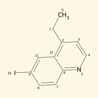 CCc1ccnc2ccc(I)cc12